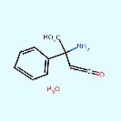 NC(C=C=O)(C(=O)O)c1ccccc1.O